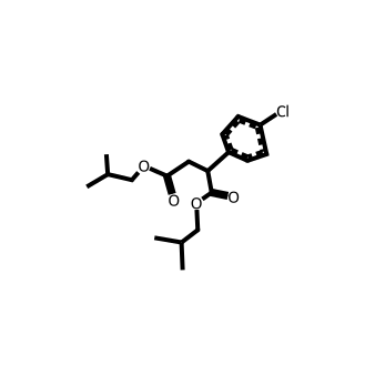 CC(C)COC(=O)CC(C(=O)OCC(C)C)c1ccc(Cl)cc1